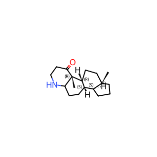 C[C@@]12CCC[C@H]1[C@@H]1CCC3NCCC(=O)[C@]3(C)[C@@H]1CC2